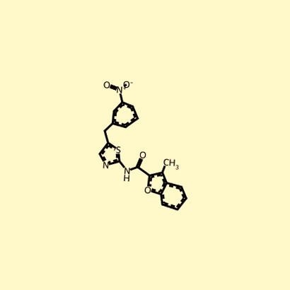 Cc1c(C(=O)Nc2ncc(Cc3cccc([N+](=O)[O-])c3)s2)oc2ccccc12